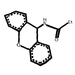 CCC(=O)NC1c2ccccc2Oc2ccccc21